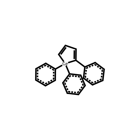 C1=[CH][Ge]([c]2ccccc2)([c]2ccccc2)[C](c2ccccc2)=C1